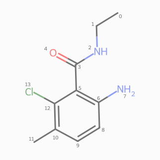 CCNC(=O)c1c(N)ccc(C)c1Cl